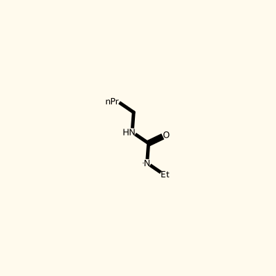 CCCCNC(=O)[N]CC